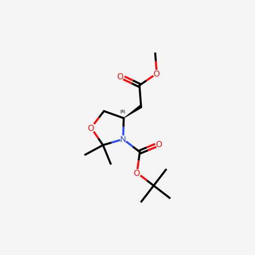 COC(=O)C[C@@H]1COC(C)(C)N1C(=O)OC(C)(C)C